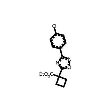 CCOC(=O)C1(c2nc(-c3ccc(Cl)cc3)no2)CCC1